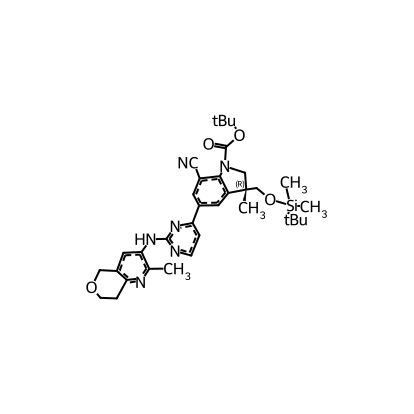 Cc1nc2c(cc1Nc1nccc(-c3cc(C#N)c4c(c3)[C@@](C)(CO[Si](C)(C)C(C)(C)C)CN4C(=O)OC(C)(C)C)n1)COCC2